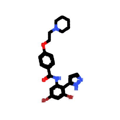 O=C(Nc1cc(Br)cc(Br)c1-c1ccn[nH]1)c1ccc(OCCN2CCCCC2)cc1